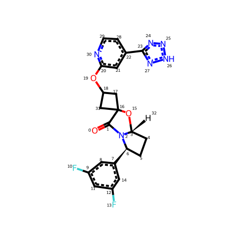 O=C1N2[C@@H](CC[C@H]2c2cc(F)cc(F)c2)OC12CC(Oc1cc(-c3nn[nH]n3)ccn1)C2